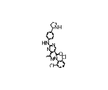 Cc1nn(-c2c(Cl)cccc2Cl)c(=O)c2cnc(Nc3ccc(C4CCCN4)cc3)nc12